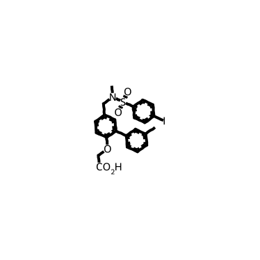 Cc1cccc(-c2cc(CN(C)S(=O)(=O)c3ccc(I)cc3)ccc2OCC(=O)O)c1